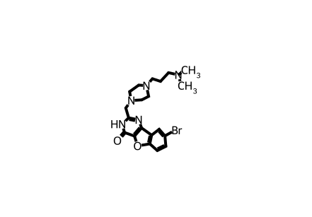 CN(C)CCCN1CCN(Cc2nc3c(oc4ccc(Br)cc43)c(=O)[nH]2)CC1